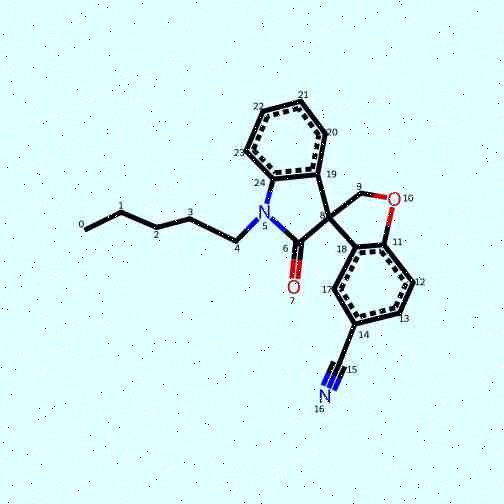 CCCCCN1C(=O)C2(COc3ccc(C#N)cc32)c2ccccc21